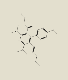 CCC/C=C/c1c(C(C)C)nc(C(C)C)c(C(=O)OCC)c1-c1ccc(CC)cc1